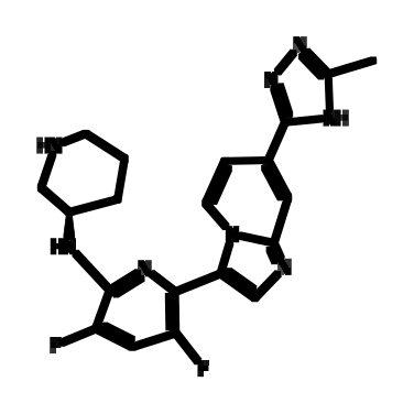 Cc1nnc(-c2ccn3c(-c4nc(N[C@@H]5CCCNC5)c(F)cc4F)cnc3c2)[nH]1